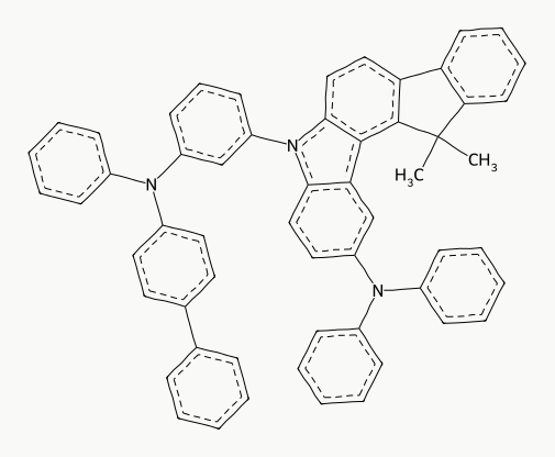 CC1(C)c2ccccc2-c2ccc3c(c21)c1cc(N(c2ccccc2)c2ccccc2)ccc1n3-c1cccc(N(c2ccccc2)c2ccc(-c3ccccc3)cc2)c1